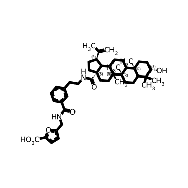 C=C(C)[C@@H]1CC[C@]2(C(=O)NCCc3cccc(C(=O)NCc4ccc(C(=O)O)o4)c3)CC[C@]3(C)C(CCC4[C@@]5(C)CC[C@H](O)C(C)(C)C5CC[C@]43C)C12